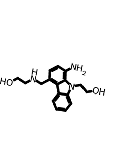 Nc1ccc(CNCCO)c2c3ccccc3n(CCO)c12